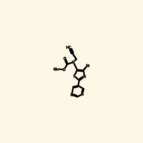 C#CCN(C(=O)OC(C)(C)C)c1sc(-c2cncnc2)nc1CC